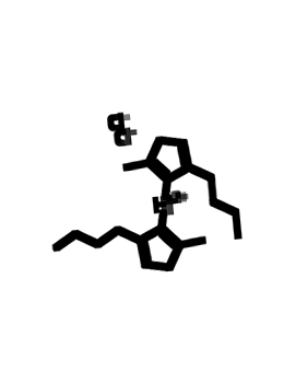 CCCCC1=CCC(C)=[C]1[Hf+2][C]1=C(C)CC=C1CCCC.[Cl-].[Cl-]